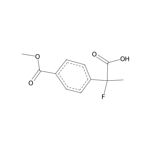 COC(=O)c1ccc(C(C)(F)C(=O)O)cc1